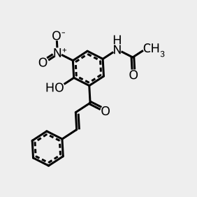 CC(=O)Nc1cc(C(=O)C=Cc2ccccc2)c(O)c([N+](=O)[O-])c1